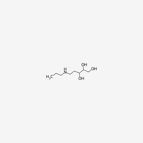 CCCNCCC(O)C(O)CO